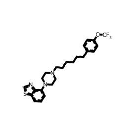 FC(F)(F)Oc1ccc(CCCCCCN2CCN(c3cccc4s[c]nc34)CC2)cc1